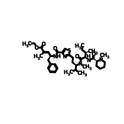 CCOC(=O)/C(C)=C/[C@H](Cc1ccccc1)NC(=O)c1csc(CC[C@H](C(C)C)N(C)C(=O)[C@@H](NC(=O)[C@H]2CCCCN2C)[C@@H](C)CC)n1